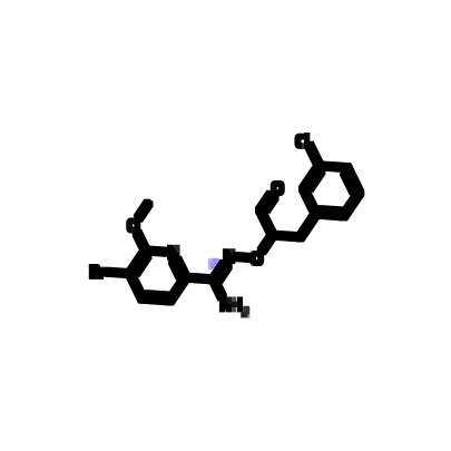 COc1nc(/C(N)=N/OC(C=O)Cc2cccc(Cl)c2)ccc1Br